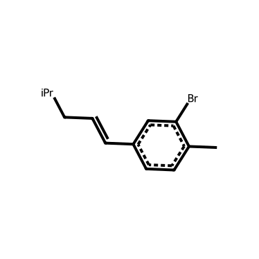 Cc1ccc(C=CCC(C)C)cc1Br